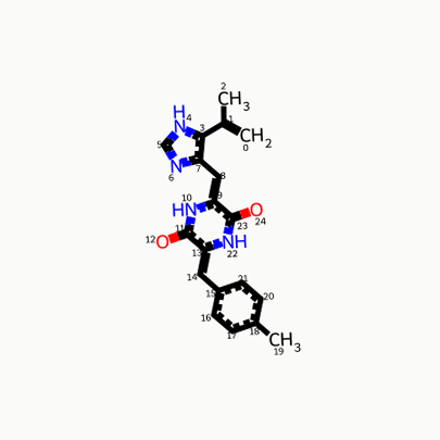 C=C(C)c1[nH]cnc1/C=c1\[nH]c(=O)/c(=C/c2ccc(C)cc2)[nH]c1=O